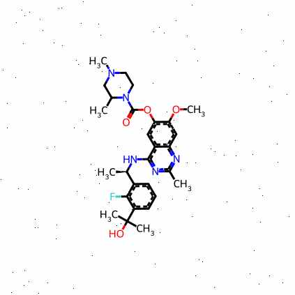 COc1cc2nc(C)nc(N[C@H](C)c3cccc(C(C)(C)O)c3F)c2cc1OC(=O)N1CCN(C)CC1C